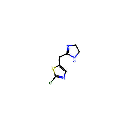 Clc1ncc(CC2=NCCN2)s1